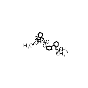 C=CCOC(=O)CC1(CNC(=O)Oc2cccc(C3=C(CN(C)C)CCCC3)c2)CCCCC1